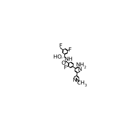 Cn1cc(-c2cnc(N)c(-c3ccc(C(=O)N[C@H](CO)c4cc(F)cc(CF)c4)c(F)c3)c2)cn1